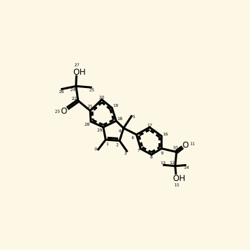 CC1=C(C)C(C)(c2ccc(C(=O)C(C)(C)O)cc2)c2ccc(C(=O)C(C)(C)O)cc21